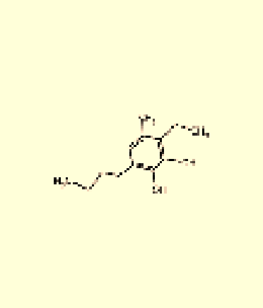 CCCCc1cc(C)c(CC)c(O)c1O